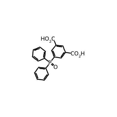 O=C(O)c1cc(C(=O)O)cc(P(=O)(c2ccccc2)c2ccccc2)c1